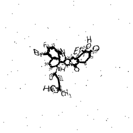 CC[C@@]1(O)C(=O)CCc2c1cc1n(c2=O)Cc2c-1nc1cc(F)c(Br)c3c1c2[C@@H](NC(=O)C[C@@H](C)O)CC3